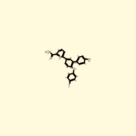 NC(=O)c1cccc(-c2ccc(Oc3ccc(F)cc3)c(-c3ccc(Cl)cc3)c2)n1